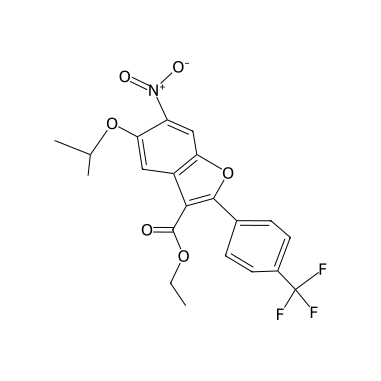 CCOC(=O)c1c(-c2ccc(C(F)(F)F)cc2)oc2cc([N+](=O)[O-])c(OC(C)C)cc12